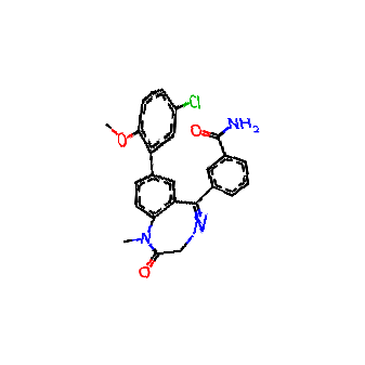 COc1ccc(Cl)cc1-c1ccc2c(c1)C(c1cccc(C(N)=O)c1)=NCC(=O)N2C